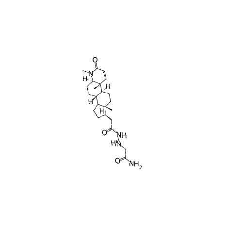 CN1C(=O)C=C[C@]2(C)[C@H]3CC[C@]4(C)[C@@H](CC(=O)NNCC(N)=O)CC[C@H]4[C@@H]3CC[C@@H]12